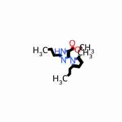 CCCc1nc(-n2c(C)ccc2CCC)c(C(=O)OC)[nH]1